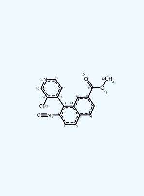 [C-]#[N+]c1ccc2ccc(C(=O)OC)cc2c1-c1ccncc1Cl